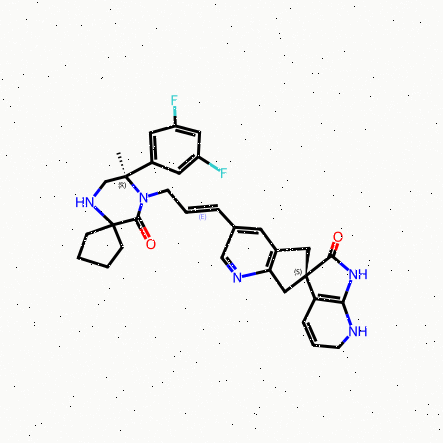 C[C@@]1(c2cc(F)cc(F)c2)CNC2(CCCC2)C(=O)N1C/C=C/c1cnc2c(c1)C[C@@]1(C2)C(=O)NC2=C1C=CCN2